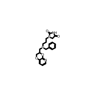 O=C1CN(CCCN(Cc2ccccc2)CC2COc3cccnc3O2)C(=O)N1